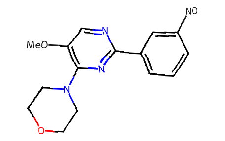 COc1cnc(-c2cccc(N=O)c2)nc1N1CCOCC1